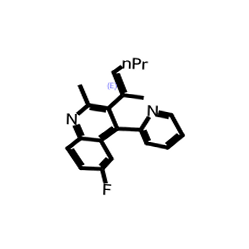 CCC/C=C(\C)c1c(C)nc2ccc(F)cc2c1-c1ccccn1